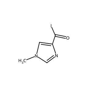 Cn1cnc(C(=O)I)c1